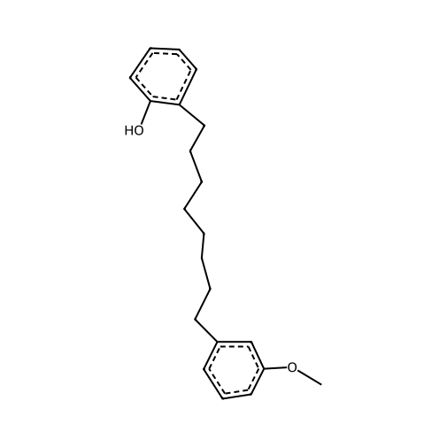 COc1cccc(CCCCCCCCc2ccccc2O)c1